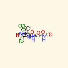 C[C@@]1(C2C=CC(Cl)=CC2NC=O)[C@@H](c2cccc(Cl)c2F)[C@H](C(=O)N[C@@H]2CC[C@@H](C(=O)NC3CCOCC3)OC2)NC12CC(CF)(CF)C2